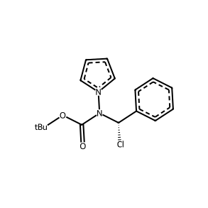 CC(C)(C)OC(=O)N([C@@H](Cl)c1ccccc1)n1cccc1